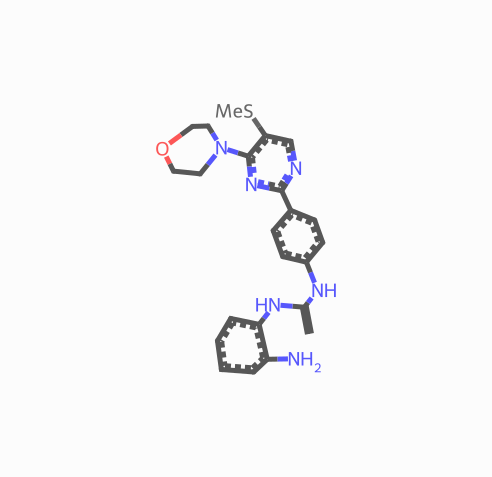 C=C(Nc1ccc(-c2ncc(SC)c(N3CCOCC3)n2)cc1)Nc1ccccc1N